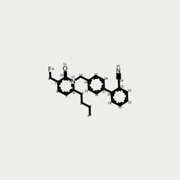 CCCCc1ccc(CF)c(=O)n1Cc1ccc(-c2ccccc2C#N)cc1